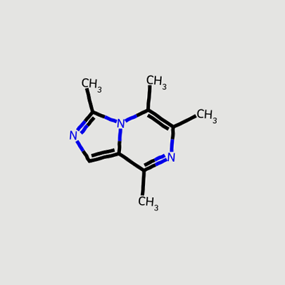 Cc1nc(C)c2cnc(C)n2c1C